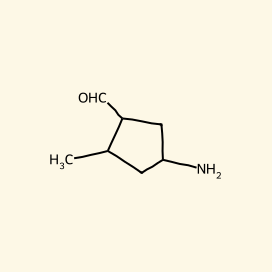 CC1CC(N)CC1C=O